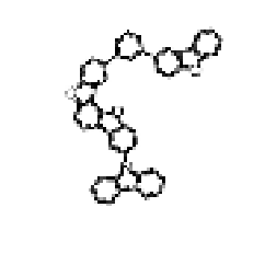 c1cc(-c2ccc3oc4ccccc4c3c2)cc(-c2ccc3oc4ccc5c6cc(-n7c8ccccc8c8ccccc87)ccc6oc5c4c3c2)c1